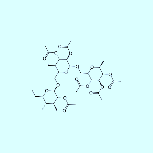 CC[C@H]1O[C@@H](OCC2O[C@@H](OCC3O[C@@H](C)[C@H](OC(C)=O)[C@@H](OC(C)=O)[C@@H]3OC(C)=O)[C@H](OC(C)=O)[C@@H](OC(C)=O)[C@@H]2C)[C@H](OC(C)=O)[C@@H](C)[C@@H]1C